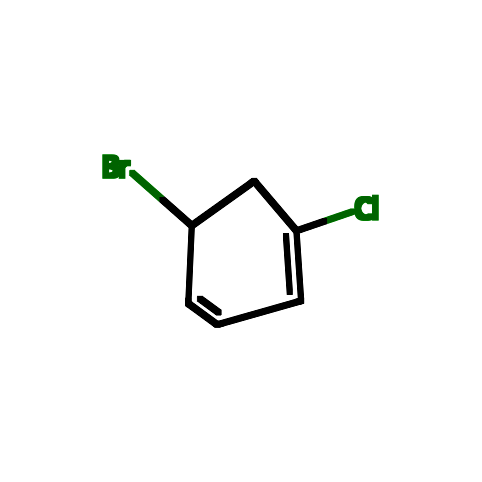 ClC1=CC=CC(Br)C1